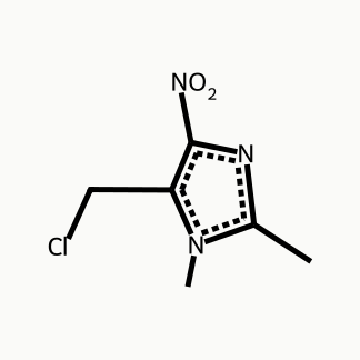 Cc1nc([N+](=O)[O-])c(CCl)n1C